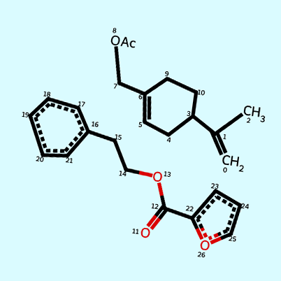 C=C(C)C1CC=C(COC(C)=O)CC1.O=C(OCCc1ccccc1)c1ccco1